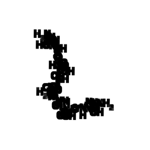 Nc1nc(O)c2nc(NCc3ccc(C(=O)NC(CCC(=O)NCCC(=O)O[PH](N)(Cl)OC(=O)CCNC(=O)CCC(NC(=O)c4ccc(CNc5cnc6nc(N)nc(O)c6n5)cc4)C(=O)O)C(=O)O)cc3)cnc2n1